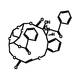 O=C1/C=C/CCc2ccccc2[C@H](NC(=O)c2ccccc2)[C@@H](O)C(=O)OC2CC3CC(CO1)C(OC(=O)c1ccccc1)C(C3)C2